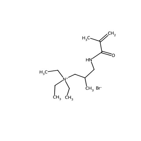 C=C(C)C(=O)NCC(C)C[N+](CC)(CC)CC.[Br-]